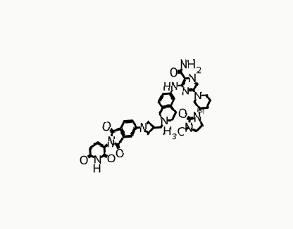 CN1CCN([C@H]2CCCN(c3cnc(C(N)=O)c(Nc4ccc5c(c4)CCN(CC4CN(c6ccc7c(c6)C(=O)N(C6CCC(=O)NC6=O)C7=O)C4)C5)n3)C2)C1=O